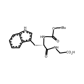 CC(C)(C)OC(=O)N[C@@H](Cc1c[nH]c2ccccc12)C(=O)NCC(=O)O